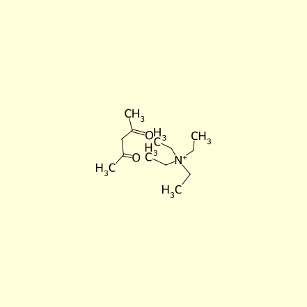 CC(=O)CC(C)=O.CC[N+](CC)(CC)CC